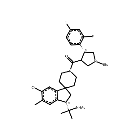 CC(=O)NC(C)(C)[C@H]1CC2(CCN(C(=O)C3CN(C(C)(C)C)C[C@H]3c3ccc(F)cc3F)CC2)c2cc(Cl)c(C)cc21